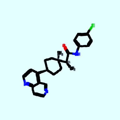 C[C@H](C(=O)Nc1ccc(Cl)cc1)[C@]1(C)CC[C@H](c2ccnc3ccncc32)CC1